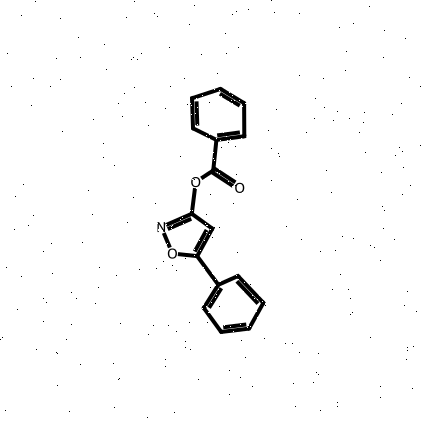 O=C(Oc1cc(-c2ccccc2)on1)c1ccccc1